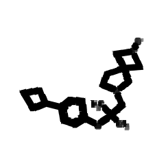 CC(C)(CN1CCC2(C1)C[S+]([O-])C2)Oc1ccc(C2CCC2)cc1